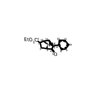 CCOC(=O)C1CC2C(=O)C(c3ccccc3)=CC1N2C